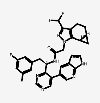 O=C(Cn1nc(C(F)F)c2c1C1C[C@H]1CC2)N[C@H](Cc1cc(F)cc(F)c1)c1ncncc1-c1cnc2[nH]ccc2c1